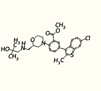 COC(=O)c1cc(-c2c(C)sc3cc(Cl)ccc23)ccc1N1CCO[C@H](CNCC(C)(C)O)C1